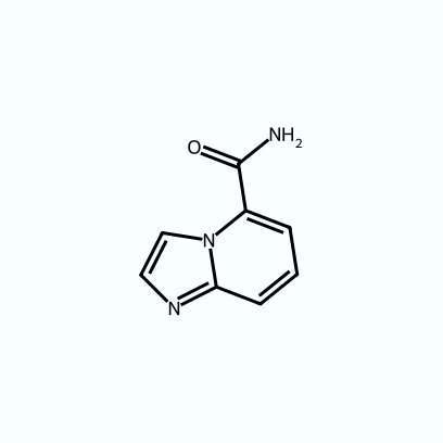 NC(=O)c1cccc2nccn12